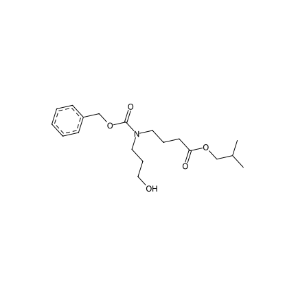 CC(C)COC(=O)CCCN(CCCO)C(=O)OCc1ccccc1